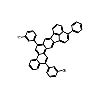 N#Cc1cccc(-c2cc3c4cc5c(cc4c(-c4cccc(C#N)c4)cc3c3ccccc23)-c2cccc3c(-c4ccccc4)ccc-5c23)c1